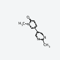 Cc1ncc(-c2ccc(=O)n(C)c2)cn1